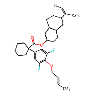 C/C=C/COc1c(F)cc(C2(C(=O)OC3CCC4CC(/C(C)=C\CC)CCC4C3)CCCCC2)cc1F